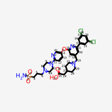 NS(=O)(=O)CCCN1CCN(c2ccc(Oc3cc(CN4CCC(CC(=O)O)CC4)cc(-c4cc(Cl)cc(Cl)c4)n3)cn2)CC1